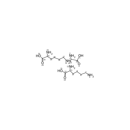 CC(N)C(=O)O.NCCCCC(N)C(=O)O.NCCCCC(N)C(=O)O